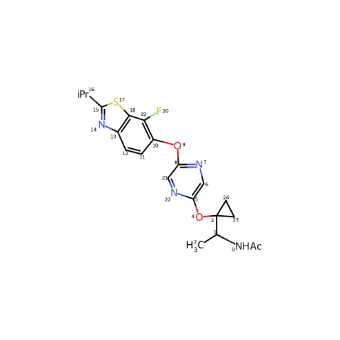 CC(=O)NC(C)C1(Oc2cnc(Oc3ccc4nc(C(C)C)sc4c3F)cn2)CC1